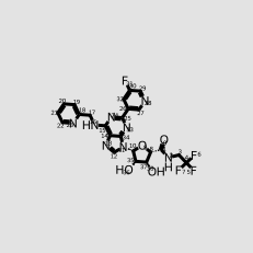 O=C(NCC(F)(F)F)[C@H]1O[C@@H](n2cnc3c(NCc4ccccn4)nc(-c4cncc(F)c4)nc32)[C@H](O)[C@@H]1O